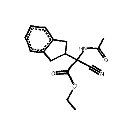 CCOC(=O)C(C#N)(NC(C)=O)C1Cc2ccccc2C1